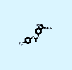 CC(=O)Nc1c[nH]c2ccc(OC(C)Oc3ccc(C(F)(F)F)cc3)cc12